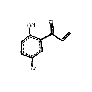 C=CC(=O)c1cc(Br)ccc1O